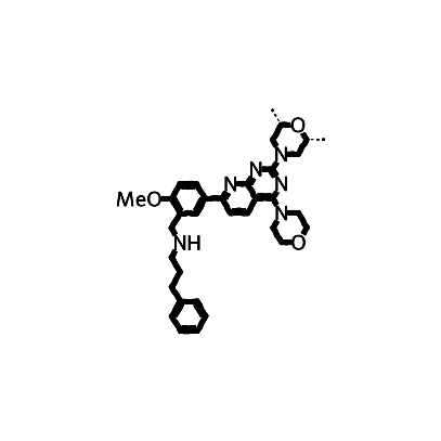 COc1ccc(-c2ccc3c(N4CCOCC4)nc(N4C[C@@H](C)O[C@@H](C)C4)nc3n2)cc1CNCCCc1ccccc1